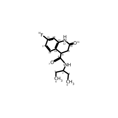 CCC(CC)NC(=O)C1CC(=O)Nc2cc(F)ccc21